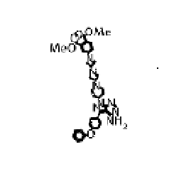 COC(=O)c1ccc(N2CC(N3CC(N4CCC(n5nc(-c6ccc(Oc7ccccc7)cc6)c6c(N)ncnc65)CC4)C3)C2)cc1C(=O)OC